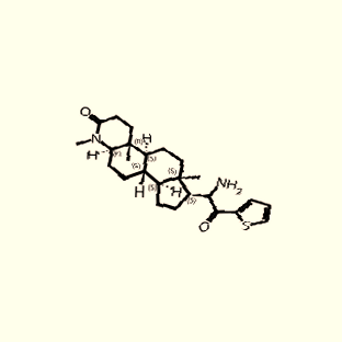 CN1C(=O)CC[C@]2(C)[C@H]3CC[C@]4(C)[C@@H](C(N)C(=O)c5cccs5)CC[C@H]4[C@@H]3CC[C@@H]12